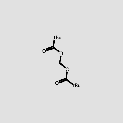 CC(C)(C)C(=O)O[CH]OC(=O)C(C)(C)C